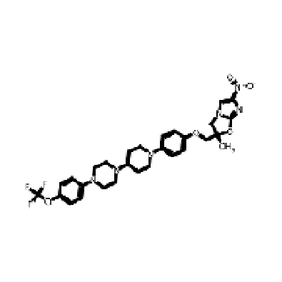 CC1(COc2ccc(N3CCC(N4CCN(c5ccc(OC(F)(F)F)cc5)CC4)CC3)cc2)Cn2cc([N+](=O)[O-])nc2O1